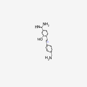 N=C(N)c1ccc(/C=C/c2ccc(CN)cc2)c(O)c1